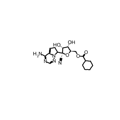 N#C[C@@]1(C2CC=C3C(N)=NC=NN32)O[C@H](COC(=O)C2CCCCC2)[C@@H](O)[C@H]1O